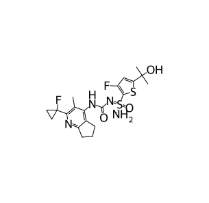 Cc1c(C2(F)CC2)nc2c(c1NC(=O)N=[S@](N)(=O)c1sc(C(C)(C)O)cc1F)CCC2